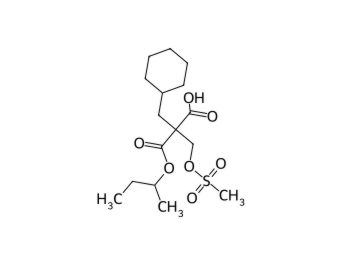 CCC(C)OC(=O)C(COS(C)(=O)=O)(CC1CCCCC1)C(=O)O